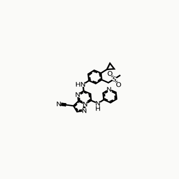 CS(=O)(=O)Cc1cc(Nc2cc(Nc3cccnc3)n3ncc(C#N)c3n2)ccc1C1CC1